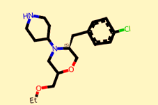 CCOCC1CN(C2CCNCC2)[C@@H](Cc2ccc(Cl)cc2)CO1